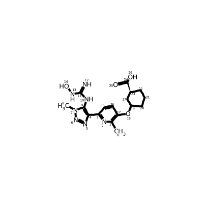 Cc1nc(-c2nnn(C)c2NC(=N)NO)ccc1OC1CCC[C@H](C(=O)O)C1